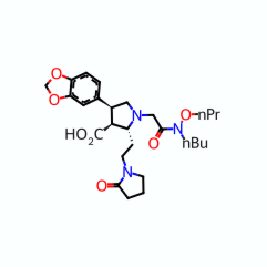 CCCCN(OCCC)C(=O)CN1C[C@H](c2ccc3c(c2)OCO3)[C@H](C(=O)O)[C@H]1CCN1CCCC1=O